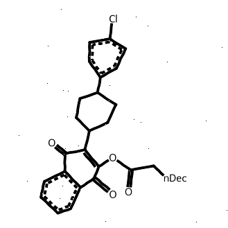 CCCCCCCCCCCC(=O)OC1=C(C2CCC(c3ccc(Cl)cc3)CC2)C(=O)c2ccccc2C1=O